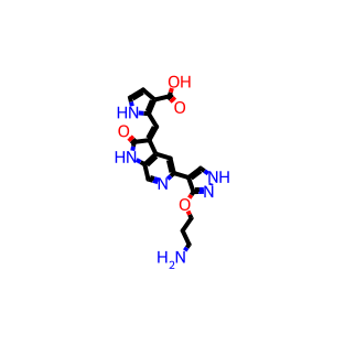 NCCCOc1n[nH]cc1-c1cc2c(cn1)NC(=O)/C2=C\c1[nH]ccc1C(=O)O